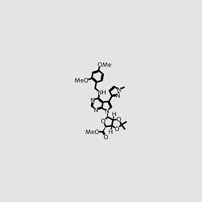 COC(=O)[C@H]1O[C@@H](n2cc(-c3ccn(C)n3)c3c(NCc4ccc(OC)cc4OC)ncnc32)[C@@H]2OC(C)(C)O[C@@H]21